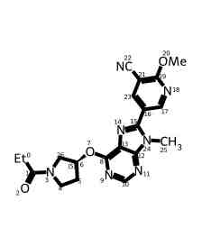 CCC(=O)N1CC[C@H](Oc2ncnc3c2nc(-c2cnc(OC)c(C#N)c2)n3C)C1